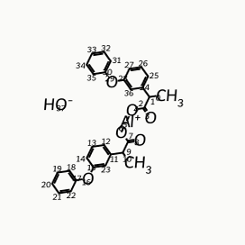 CC(C(=O)[O][Al+][O]C(=O)C(C)c1cccc(Oc2ccccc2)c1)c1cccc(Oc2ccccc2)c1.[OH-]